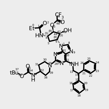 CCC(=O)N[C@H]1C[C@@H](n2cnc3c(NCC(c4ccccc4)c4ccccc4)nc(N4CCC(NC(=O)OC(C)(C)C)CC4)nc32)[C@H](O)[C@@H]1OC(=O)C(F)(F)F